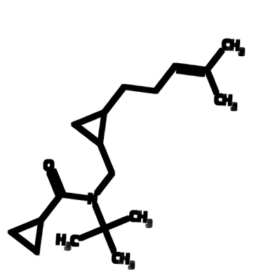 CC(C)=CCCC1CC1CN(C(=O)C1CC1)C(C)(C)C